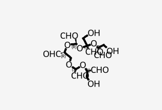 O=C[C@H](O[C@@H](C=O)CO[C@H](C=O)O[C@@H](C=O)CO)O[C@](C=O)(CO)O[C@@H](C=O)CO